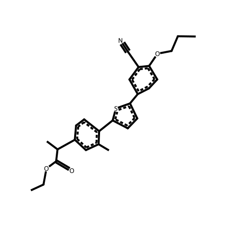 CCCOc1ccc(-c2ccc(-c3ccc(C(C)C(=O)OCC)cc3C)s2)cc1C#N